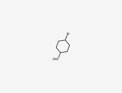 O=[C]C1CCC(Br)CC1